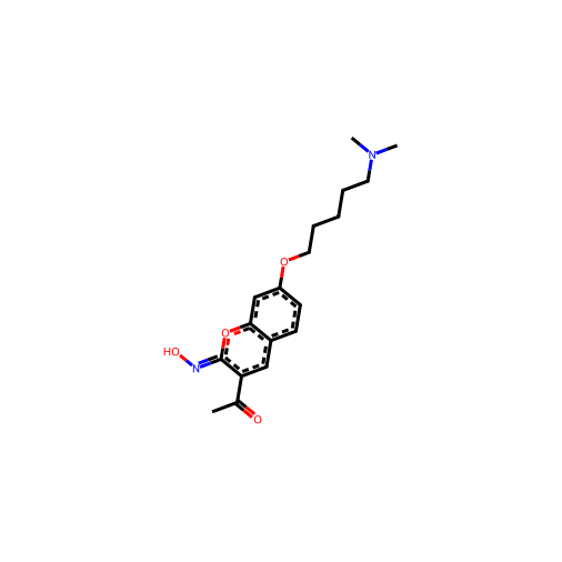 CC(=O)c1cc2ccc(OCCCCCN(C)C)cc2oc1=NO